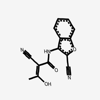 C/C(O)=C(\C#N)C(=O)Nc1c(C#N)oc2ccccc12